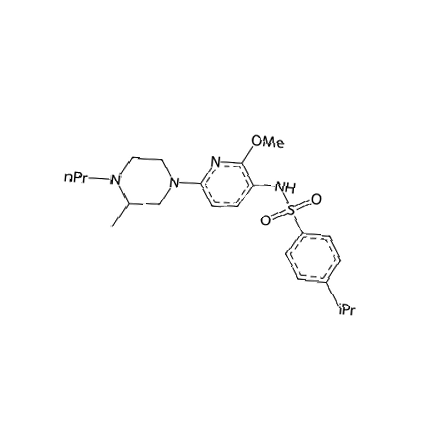 CCCN1CCN(c2ccc(NS(=O)(=O)c3ccc(C(C)C)cc3)c(OC)n2)CC1C